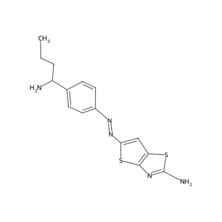 CCCC(N)c1ccc(N=Nc2cc3sc(N)nc3s2)cc1